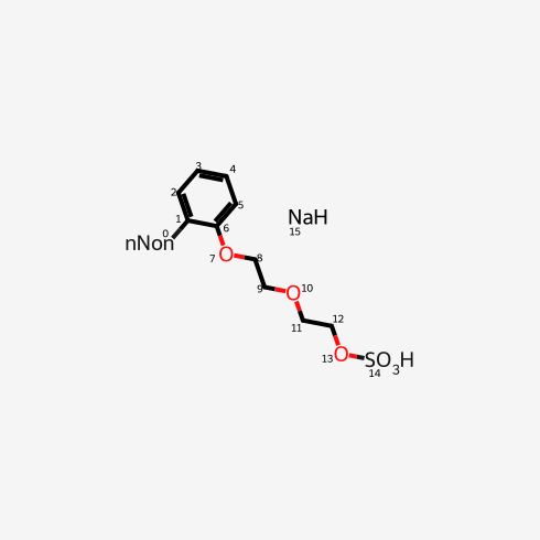 CCCCCCCCCc1ccccc1OCCOCCOS(=O)(=O)O.[NaH]